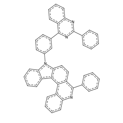 c1ccc(-c2nc(-c3cccc(-n4c5ccccc5c5c6c(ccc54)c(-c4ccccc4)nc4ccccc46)c3)c3ccccc3n2)cc1